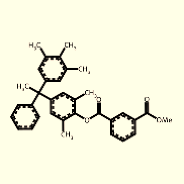 COC(=O)c1cccc(C(=O)Oc2c(C)cc(C(C)(c3ccccc3)c3cc(C)c(C)c(C)c3)cc2C)c1